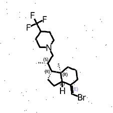 C[C@H](CN1CCC(C(F)(F)F)CC1)[C@H]1CC[C@H]2/C(=C/Br)CCC[C@]12C